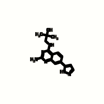 CC(C)(O)CNc1nc(N)nc2cc(-c3ccn[nH]3)ccc12